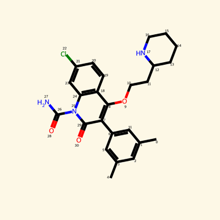 Cc1cc(C)cc(-c2c(OCCC3CCCCN3)c3c[c]c(Cl)cc3n(C(N)=O)c2=O)c1